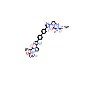 COC(=O)NC(C(=O)N1CCC[C@H]1c1ncc(-c2ccc(-c3ccc(-c4cnc([C@@H]5CCCN5C(=O)C(NC(=O)OC)C(C)C)[nH]4)cc3)cc2)[nH]1)C(C)C